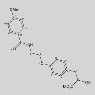 CCCCC(Cc1ccc(OCCNC(=O)c2ccc(OC)nc2)cc1)C(=O)OCC